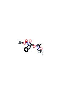 CC1=CC(O/C=C2/C(=O)N(C(=O)OC(C)(C)C)C3c4ccccc4CC23)N(CC(F)(F)F)C1=O